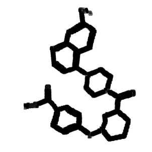 COC(=O)c1ccc(SN2CCCC(C(=O)N3CCN(c4ccnc5cc(C)ccc45)CC3)C2)cc1